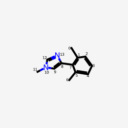 Cc1cccc(C)c1-c1cn(C)cn1